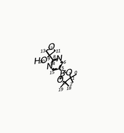 CC1(C)OB(c2cnc(C3(O)COC3)nc2)OC1(C)C